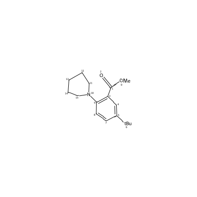 COC(=O)c1cc(C(C)(C)C)ccc1N1CCCCC1